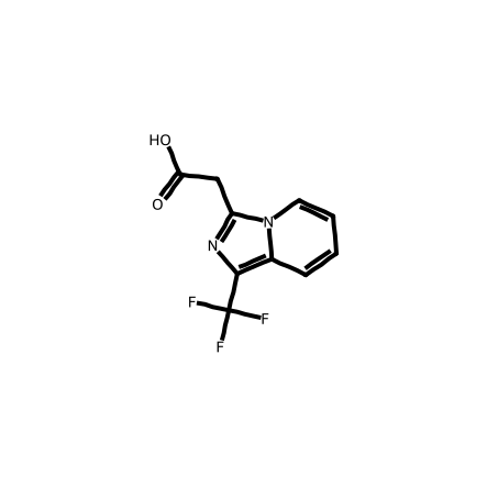 O=C(O)Cc1nc(C(F)(F)F)c2ccccn12